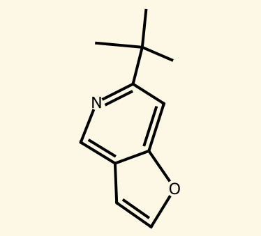 CC(C)(C)c1cc2occc2cn1